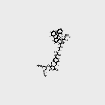 [N-]=[N+]=NCC(CN=[N+]=[N-])OC(=O)N[C@@H](Cc1ccc(OC(=O)NCCCC(=O)N[C@@H](CSC(c2ccccc2)(c2ccccc2)c2ccccc2)C(=O)NN)cc1)C(=O)N=O